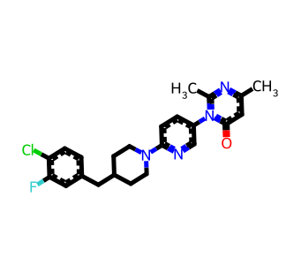 Cc1cc(=O)n(-c2ccc(N3CCC(Cc4ccc(Cl)c(F)c4)CC3)nc2)c(C)n1